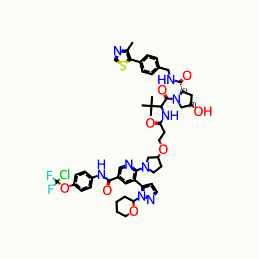 Cc1ncsc1-c1ccc(CNC(=O)[C@@H]2C[C@@H](O)CN2C(=O)C(NC(=O)CCOC2CCN(c3ncc(C(=O)Nc4ccc(OC(F)(F)Cl)cc4)cc3-c3ccnn3C3CCCCO3)C2)C(C)(C)C)cc1